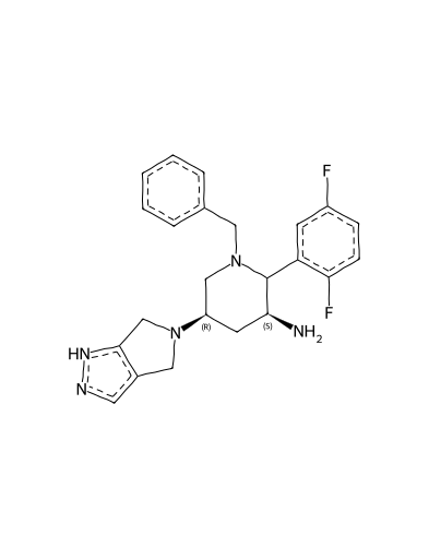 N[C@H]1C[C@@H](N2Cc3cn[nH]c3C2)CN(Cc2ccccc2)C1c1cc(F)ccc1F